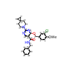 COc1ccc(COc2nc(N3CCC4(CC3)CC4)ncc2C(=O)NCc2ccccc2)cc1Cl